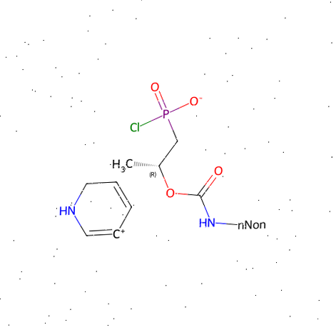 CCCCCCCCCNC(=O)O[C@H](C)CP(=O)([O-])Cl.[C+]1=CNCC=C1